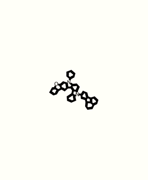 c1ccc(-n2c3cc4oc5ccccc5c4cc3c3c4c5ccccc5n(-c5ccc6c(c5)-c5cccc7cccc-6c57)c4ccc32)cc1